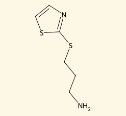 NCCCSc1nccs1